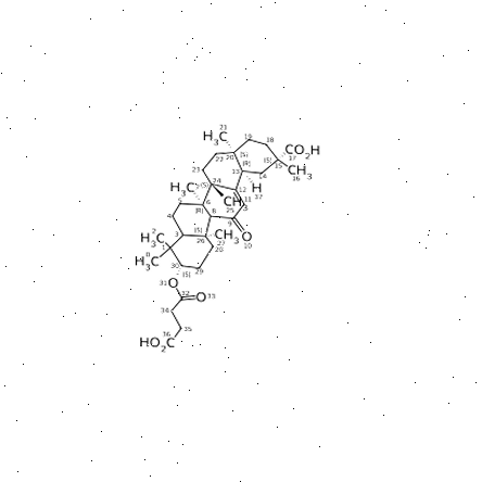 CC1(C)C2CC[C@]3(C)C(C(=O)C=C4[C@@H]5C[C@@](C)(C(=O)O)CC[C@]5(C)CC[C@]43C)[C@@]2(C)CC[C@@H]1OC(=O)CCC(=O)O